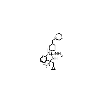 N[C@]1(C2CCC(CN3CCCCC3)CC2)Nc2ccccc2[C@](N)(CC2CC2)N1